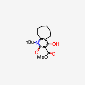 CCCCn1c2c(c(O)c(C(=O)OC)c1=O)CCCCCC2